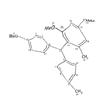 COc1ccc(C(c2ccc(C)cc2)c2c(C)cc(OC)cc2OC)cc1